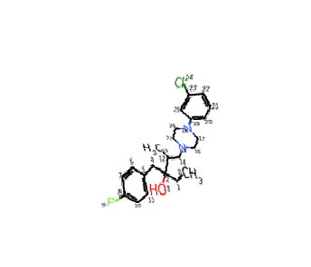 CCC(O)(Cc1ccc(F)cc1)C(C)CN1CCN(c2cccc(Cl)c2)CC1